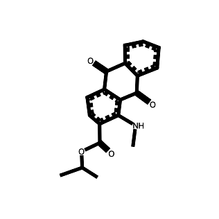 CNc1c(C(=O)OC(C)C)ccc2c1C(=O)c1ccccc1C2=O